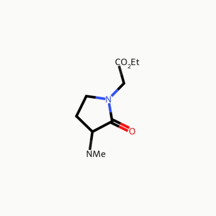 CCOC(=O)CN1CCC(NC)C1=O